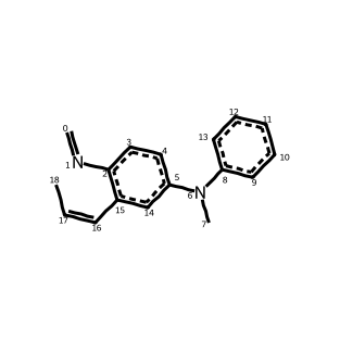 C=Nc1ccc(N(C)c2ccccc2)cc1/C=C\C